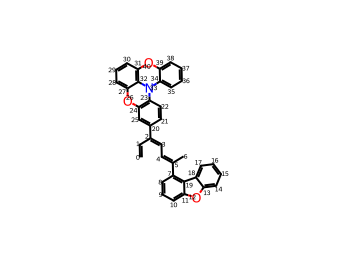 C=C/C(=C\C=C(/C)c1cccc2oc3ccccc3c12)c1ccc2c(c1)Oc1cccc3c1N2c1ccccc1O3